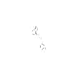 O=C(NCCc1ccc(Cl)c(Cl)c1)Nc1cccc2[nH]ncc12